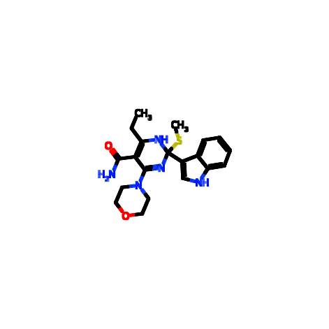 CCC1=C(C(N)=O)C(N2CCOCC2)=NC(SC)(c2c[nH]c3ccccc23)N1